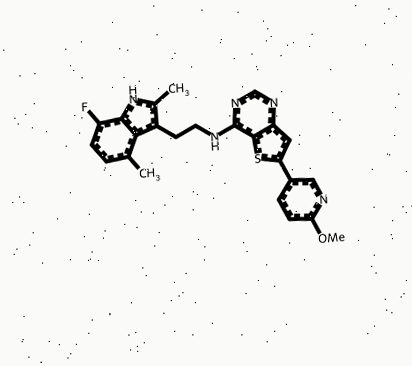 COc1ccc(-c2cc3ncnc(NCCc4c(C)[nH]c5c(F)ccc(C)c45)c3s2)cn1